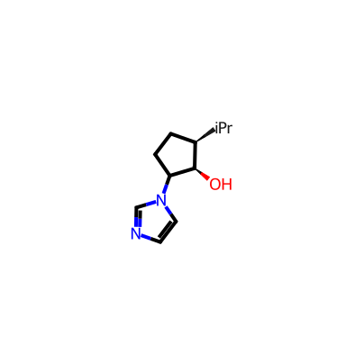 CC(C)[C@@H]1CCC(n2ccnc2)[C@@H]1O